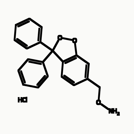 Cl.NOCc1ccc2c(c1)OOC2(c1ccccc1)c1ccccc1